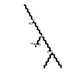 CCCCCCCCCOC(O)CCCCCCCN(CCCCCCCC(=O)OC(CCCCCCCC)CCCCCCCC)CCCC(=O)N(C)O